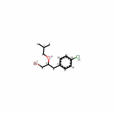 CC(C)COC(CBr)Cc1ccc(Cl)cc1